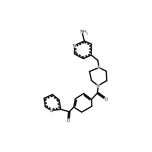 Nc1cc(CN2CCN(C(=O)C3=CC=C(C(=O)c4ccccn4)CC3)CC2)ccn1